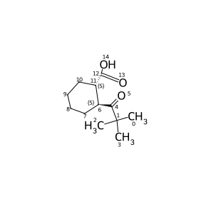 CC(C)(C)C(=O)[C@H]1CCCC[C@@H]1C(=O)O